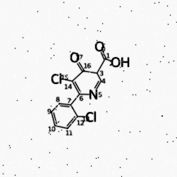 O=C(O)C1C=NC(c2ccccc2Cl)=C(Cl)C1=O